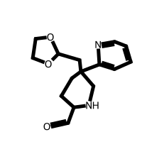 O=CC1CCC(CC2OCCO2)(c2ccccn2)CN1